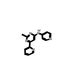 Cc1nc(Nc2ccncc2)cc(-c2ccccn2)n1